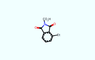 CCc1cccc2c1C(=O)N(C(=O)O)C2=O